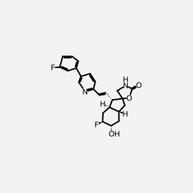 O=C1NCC2(C[C@@H]3C[C@H](O)[C@@H](F)C[C@H]3[C@@H]2/C=C/c2ccc(-c3cccc(F)c3)cn2)O1